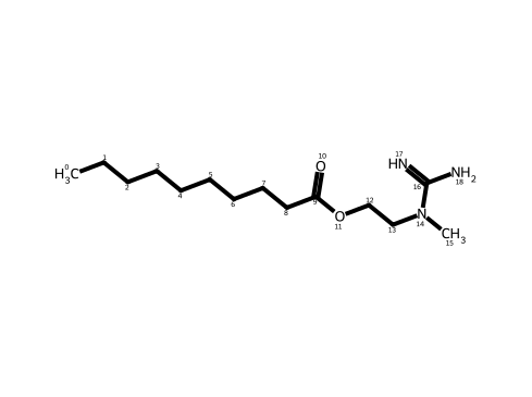 CCCCCCCCCC(=O)OCCN(C)C(=N)N